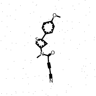 COc1ccc(-c2cc(N(C)C(=O)C#CC#N)cs2)cc1